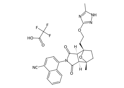 Cc1nc(OCC[C@@]23CC[C@@](C)(O2)[C@H]2C(=O)N(c4ccc(C#N)c5ccccc45)C(=O)[C@H]23)n[nH]1.O=C(O)C(F)(F)F